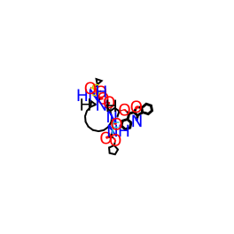 O=C(N[C@H]1CCCCCCC[C@@H]2C[C@@]2(C(=O)NS(=O)(=O)C2CC2)NC(=O)[C@@H]2C[C@@H](Oc3c4cc(F)ccc4nc4c3oc3ccccc34)CN2C1=O)OC1CCCC1